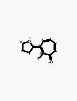 O=c1ccccc(C2CCCO2)c1F